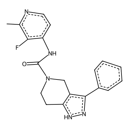 Cc1nccc(NC(=O)N2CCc3[nH]nc(-c4ccccc4)c3C2)c1F